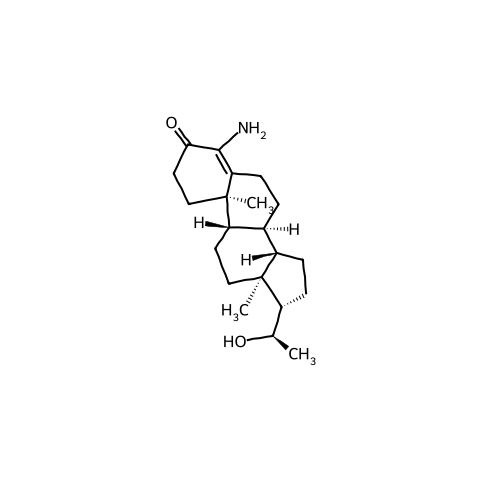 C[C@@H](O)[C@H]1CC[C@H]2[C@@H]3CCC4=C(N)C(=O)CC[C@]4(C)[C@H]3CC[C@]12C